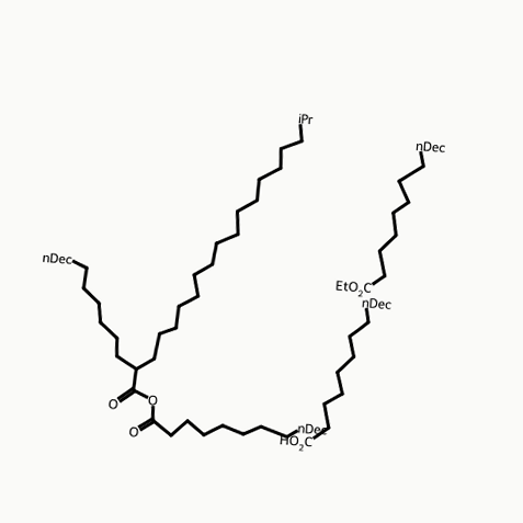 CCCCCCCCCCCCCCCCCC(=O)O.CCCCCCCCCCCCCCCCCC(=O)OC(=O)C(CCCCCCCCCCCCCCCC)CCCCCCCCCCCCCCCC(C)C.CCCCCCCCCCCCCCCCCC(=O)OCC